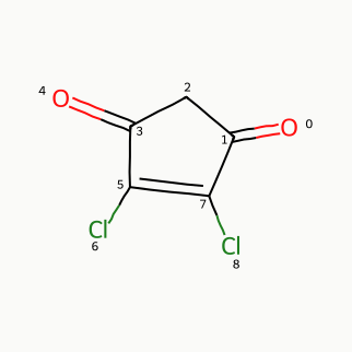 O=C1CC(=O)C(Cl)=C1Cl